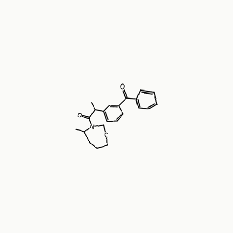 CC(C(=O)N1CCCCCC1C)c1cccc(C(=O)c2ccccc2)c1